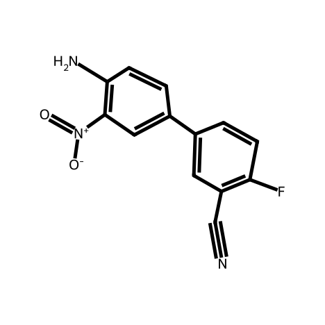 N#Cc1cc(-c2ccc(N)c([N+](=O)[O-])c2)ccc1F